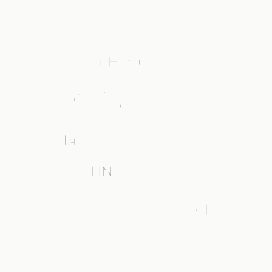 CCCCCCCC(=O)Oc1c(Br)[nH]c2cc(Cl)ccc12